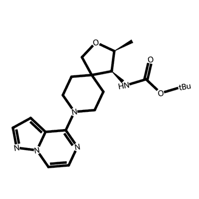 C[C@@H]1OCC2(CCN(c3nccn4nccc34)CC2)[C@@H]1NC(=O)OC(C)(C)C